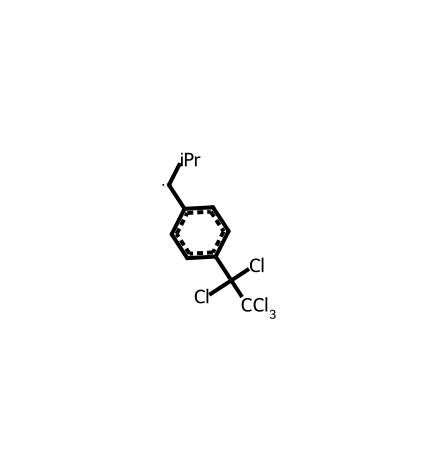 CC(C)[CH]c1ccc(C(Cl)(Cl)C(Cl)(Cl)Cl)cc1